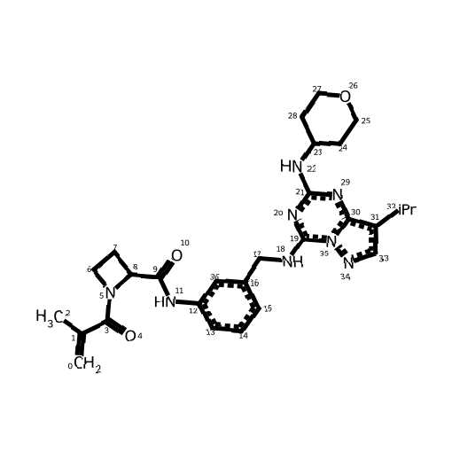 C=C(C)C(=O)N1CCC1C(=O)Nc1cccc(CNc2nc(NC3CCOCC3)nc3c(C(C)C)cnn23)c1